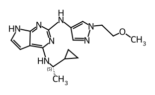 COCCn1cc(Nc2nc(N[C@@H](C)C3CC3)c3cc[nH]c3n2)cn1